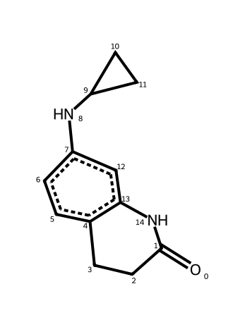 O=C1CCc2ccc(NC3CC3)cc2N1